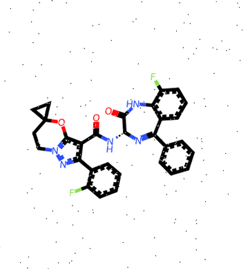 O=C(N[C@H]1N=C(c2ccccc2)c2cccc(F)c2NC1=O)c1c(-c2ccccc2F)nn2c1OC1(CC2)CC1